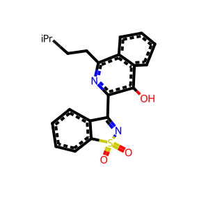 CC(C)CCc1nc(C2=NS(=O)(=O)c3ccccc32)c(O)c2ccccc12